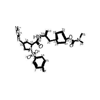 Cc1ccc(S(=O)(=O)N2CC(N=[N+]=[N-])CC2C(=O)NC(C)Cc2ccc(OC(=O)N(C)C)cc2)cc1